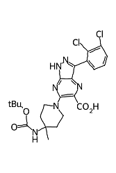 CC1(NC(=O)OC(C)(C)C)CCN(c2nc3[nH]nc(-c4cccc(Cl)c4Cl)c3nc2C(=O)O)CC1